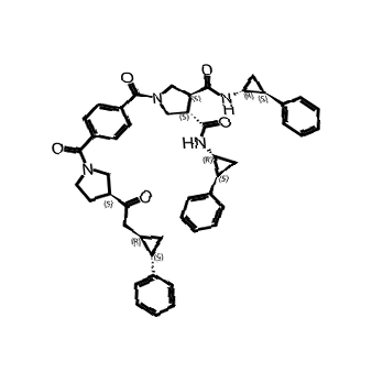 O=C(C[C@H]1C[C@@H]1c1ccccc1)[C@H]1CCN(C(=O)c2ccc(C(=O)N3C[C@@H](C(=O)N[C@@H]4C[C@H]4c4ccccc4)[C@H](C(=O)N[C@@H]4C[C@H]4c4ccccc4)C3)cc2)C1